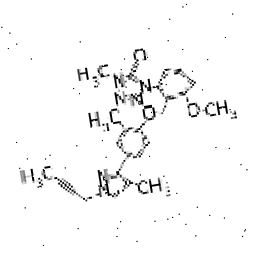 CC#CCn1cc(C)c(-c2ccc(OCc3c(OC)cccc3-n3nnn(C)c3=O)c(C)c2)n1